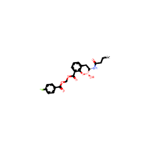 CC(=O)CCC(=O)N[C@H]1Cc2cccc(C(=O)OCOC(=O)c3ccc(F)cc3)c2OB1O